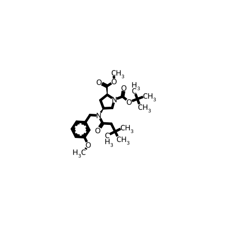 COC(=O)[C@@H]1C[C@H](N(Cc2cccc(OC)c2)C(=O)CC(C)(C)C)CN1C(=O)OC(C)(C)C